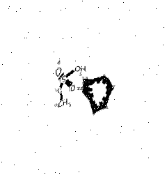 COS(=O)(=O)O.c1ccccc1